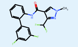 Cn1cc(C(=O)Nc2ccccc2-c2cc(F)cc(F)c2)c(C(F)F)n1